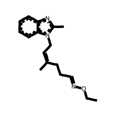 CCON=CCCC(C)=CCn1c(C)nc2ccccc21